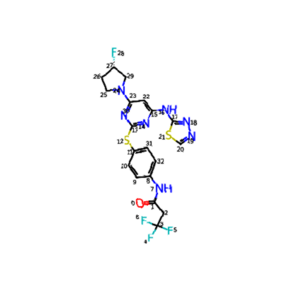 O=C(CC(F)(F)F)Nc1ccc(Sc2nc(Nc3nncs3)cc(N3CC[C@H](F)C3)n2)cc1